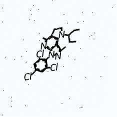 CCC(CC)N1CCc2c(C)nc3c(c(C)nn3-c3c(Cl)cc(Cl)cc3Cl)c21